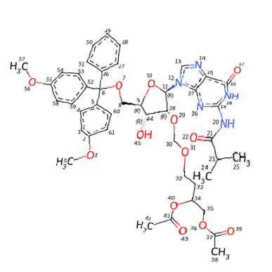 COc1ccc(C(OC[C@H]2O[C@@H](n3cnc4c(=O)[nH]c(NC(=O)C(C)C)nc43)[C@H](OCOCCC(COC(C)=O)OC(C)=O)[C@@H]2O)(c2ccccc2)c2ccc(OC)cc2)cc1